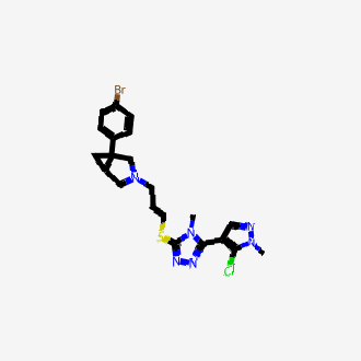 Cn1ncc(-c2nnc(SCCCN3CC4CC4(c4ccc(Br)cc4)C3)n2C)c1Cl